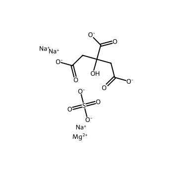 O=C([O-])CC(O)(CC(=O)[O-])C(=O)[O-].O=S(=O)([O-])[O-].[Mg+2].[Na+].[Na+].[Na+]